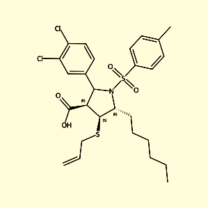 C=CCS[C@@H]1[C@@H](CCCCCC)N(S(=O)(=O)c2ccc(C)cc2)C(c2ccc(Cl)c(Cl)c2)[C@@H]1C(=O)O